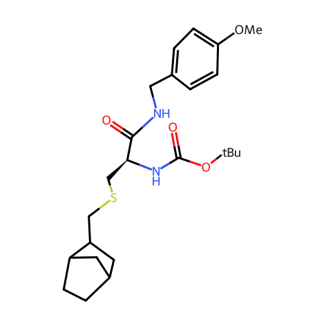 COc1ccc(CNC(=O)[C@H](CSCC2CC3CCC2C3)NC(=O)OC(C)(C)C)cc1